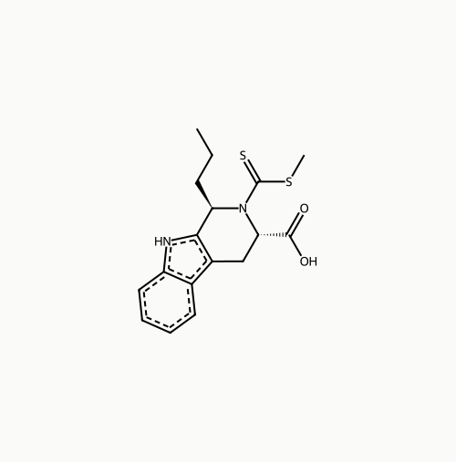 CCC[C@@H]1c2[nH]c3ccccc3c2C[C@@H](C(=O)O)N1C(=S)SC